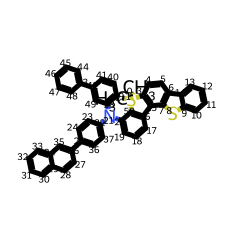 CS1(C)c2ccc3c(sc4ccccc43)c2-c2cccc(N(c3ccc(-c4ccc5ccccc5c4)cc3)c3cccc(-c4ccccc4)c3)c21